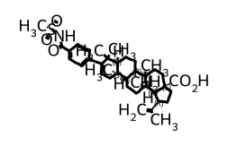 C=C(C)[C@@H]1CC[C@]2(C(=O)O)CC[C@]3(C)[C@H](CC[C@@H]4[C@@]5(C)CC=C(c6ccc(C(=O)NS(C)(=O)=O)cc6)C(C)(C)[C@@H]5CC[C@]43C)[C@@H]12